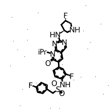 CC(C)n1c(=O)c(-c2ccc(NS(=O)(=O)Cc3ccc(F)cc3)c(F)c2)cc2cnc(N[C@@H]3CNC[C@@H](F)C3)nc21